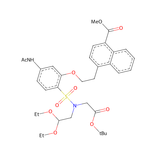 CCOC(CN(CC(=O)OC(C)(C)C)S(=O)(=O)c1ccc(NC(C)=O)cc1OCCc1ccc(C(=O)OC)c2ccccc12)OCC